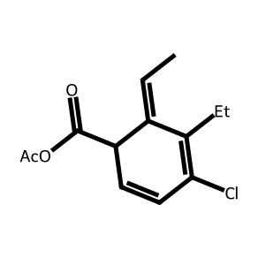 CC=C1C(CC)=C(Cl)C=CC1C(=O)OC(C)=O